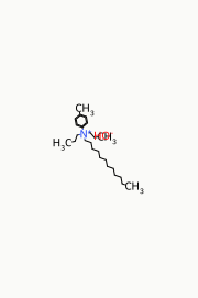 CCCCCCCCCCCC[N+](CCC)(CCC)c1ccc(C)cc1.[OH-]